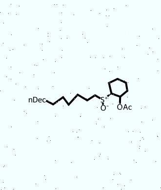 CCCCCCCCCCCCCCCC[S+]([O-])[C@H]1CCCCC1OC(C)=O